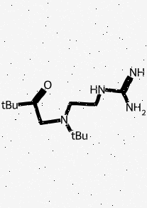 CC(C)(C)C(=O)CN(CCNC(=N)N)C(C)(C)C